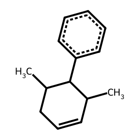 CC1C=CCC(C)C1c1ccccc1